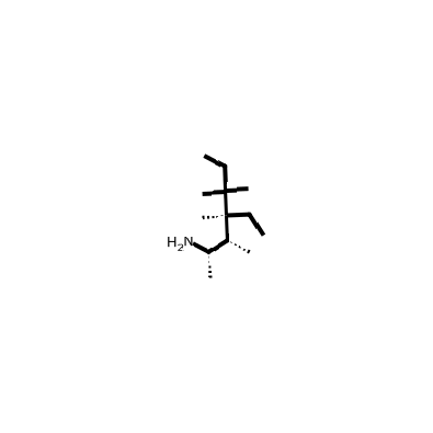 CCC(C)(C)[C@@](C)(CC)[C@H](C)[C@H](C)N